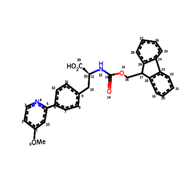 COc1ccnc(-c2ccc(C[C@H](NC(=O)OCC3c4ccccc4-c4ccccc43)C(=O)O)cc2)c1